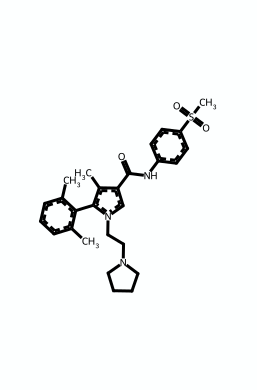 Cc1cccc(C)c1-c1c(C)c(C(=O)Nc2ccc(S(C)(=O)=O)cc2)cn1CCN1CCCC1